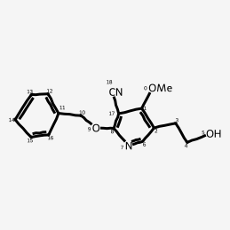 COc1c(CCO)cnc(OCc2ccccc2)c1C#N